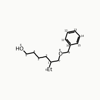 CCC(CCCCO)COCc1ccccc1